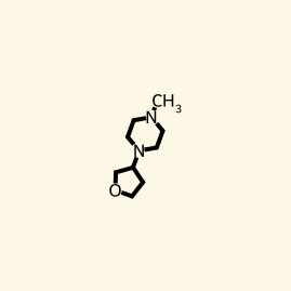 CN1CCN(C2CCOC2)CC1